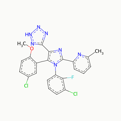 COc1ccc(Cl)cc1-c1c(-c2nn[nH]n2)nc(-c2cccc(C)n2)n1-c1cccc(Cl)c1F